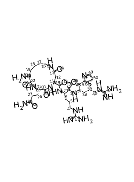 N=C(N)NCCCC(NC(=O)[C@@H]1CC(=O)NCCCC[C@H](N)C(=O)N[C@@H](CCC(N)=O)C(=O)N1)C(=O)NC(CCCNC(=N)N)C(=O)c1nccs1